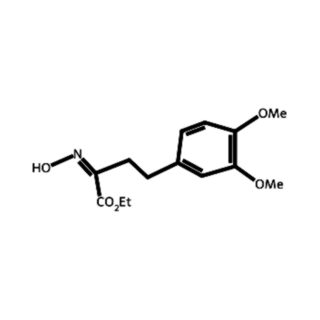 CCOC(=O)/C(CCc1ccc(OC)c(OC)c1)=N\O